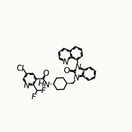 O=C(N[C@H]1CC[C@H](Cn2c(=O)n(-c3cccc4cccnc34)c3ccccc32)CC1)c1cc(Cl)cnc1C(F)F